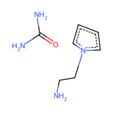 NC(N)=O.NCCn1cccc1